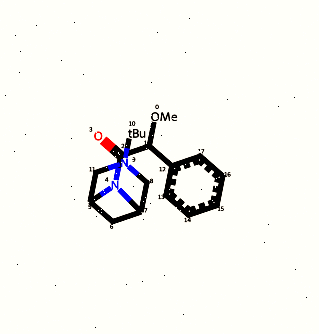 COC(C(=O)N1C2CC1CN(C(C)(C)C)C2)c1ccccc1